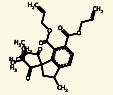 C=CCOC(=O)c1ccc2c(c1C(=O)OCC=C)C(C(=O)C(=C)C)(C(=O)C(=C)C)CC2C